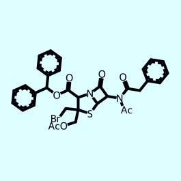 CC(=O)OCC1(CBr)SC2C(N(C(C)=O)C(=O)Cc3ccccc3)C(=O)N2C1C(=O)OC(c1ccccc1)c1ccccc1